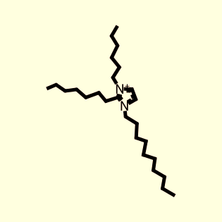 CCCCCCCCCCn1cc[n+](CCCCCC)c1CCCCCCC